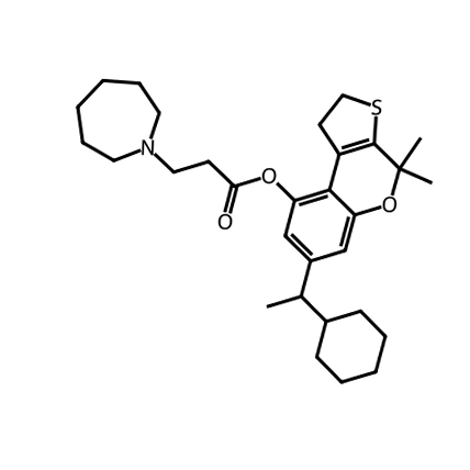 CC(c1cc(OC(=O)CCN2CCCCCC2)c2c(c1)OC(C)(C)C1=C2CCS1)C1CCCCC1